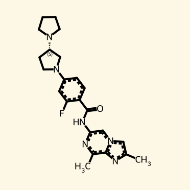 Cc1cn2cc(NC(=O)c3ccc(N4CC[C@H](N5CCCC5)C4)cc3F)nc(C)c2n1